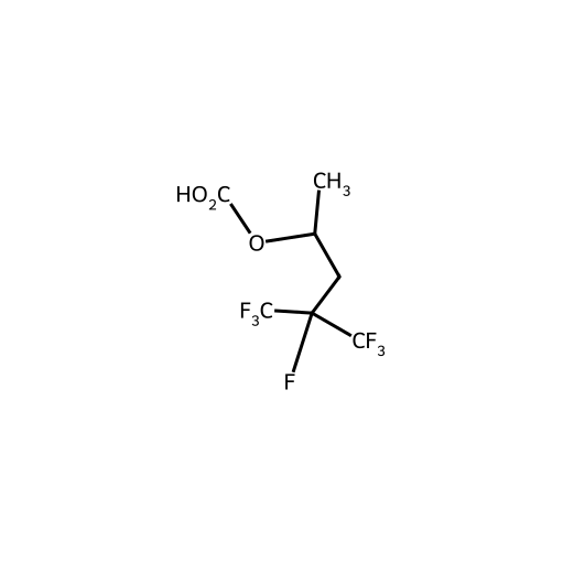 CC(CC(F)(C(F)(F)F)C(F)(F)F)OC(=O)O